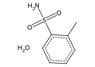 Cc1ccccc1S(N)(=O)=O.O